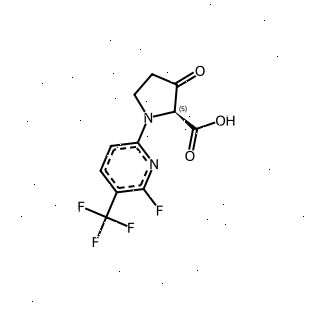 O=C(O)[C@@H]1C(=O)CCN1c1ccc(C(F)(F)F)c(F)n1